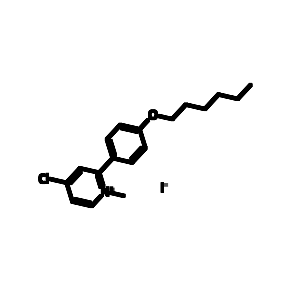 CCCCCCOc1ccc(-c2cc(Cl)cc[n+]2C)cc1.[I-]